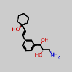 NC[C@H](O)[C@H](O)c1cccc(C=CC2(O)CCCCC2)c1